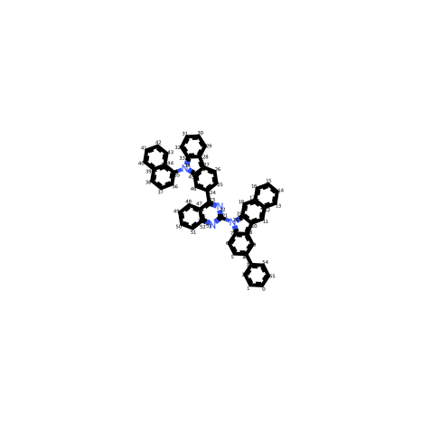 c1ccc(-c2ccc3c(c2)c2cc4ccccc4cc2n3-c2nc(-c3ccc4c5ccccc5n(-c5cccc6ccccc56)c4c3)c3ccccc3n2)cc1